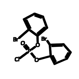 O=P(Cl)(Oc1ccccc1Br)Oc1ccccc1Br